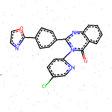 O=c1c2ccccc2nc(-c2ccc(-c3ncco3)cc2)n1-c1ccc(Cl)cn1